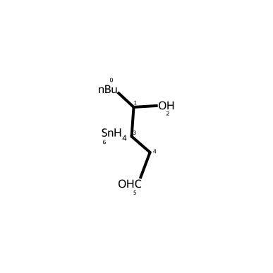 CCCCC(O)CCC=O.[SnH4]